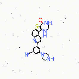 C[C@@H]1CNc2c(sc3ccc4nc(-c5cc(C#N)cc(N6CCNCC6)c5)ccc4c23)C(=O)N1